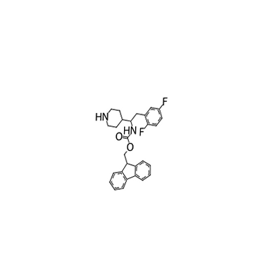 O=C(NC(Cc1cc(F)ccc1F)C1CCNCC1)OCC1c2ccccc2-c2ccccc21